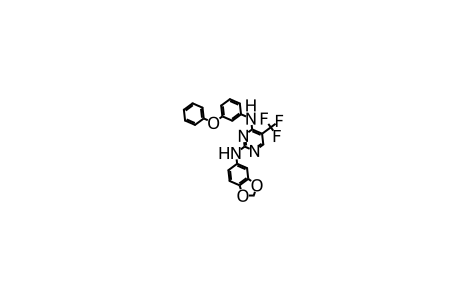 FC(F)(F)c1cnc(Nc2ccc3c(c2)OCO3)nc1Nc1cccc(Oc2ccccc2)c1